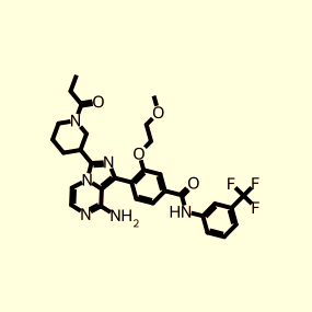 CCC(=O)N1CCCC(c2nc(-c3ccc(C(=O)Nc4cccc(C(F)(F)F)c4)cc3OCCOC)c3c(N)nccn23)C1